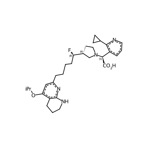 CC(C)Oc1cc(CCCC[C@@H](F)[C@@H]2CCN([C@H](C(=O)O)c3cccnc3C3CC3)C2)nc2c1CCCN2